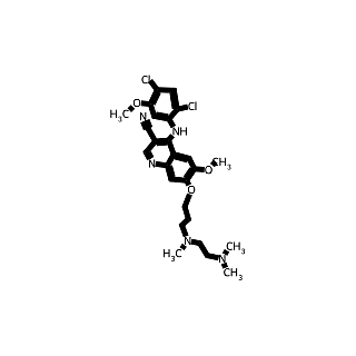 COc1cc(Nc2c(C#N)cnc3cc(OCCCN(C)CCN(C)C)c(OC)cc23)c(Cl)cc1Cl